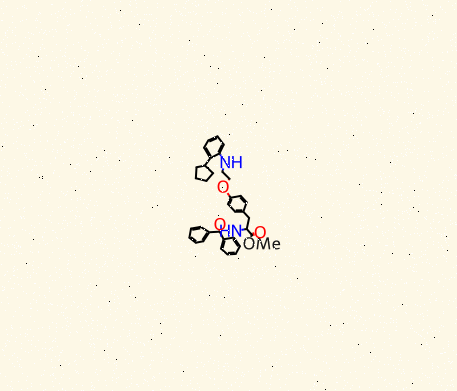 COC(=O)C(Cc1ccc(OCCNc2ccccc2C2CCCC2)cc1)Nc1ccccc1C(=O)c1ccccc1